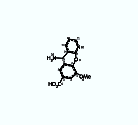 COc1cc(C(=O)O)ccc1Oc1ncccc1CN